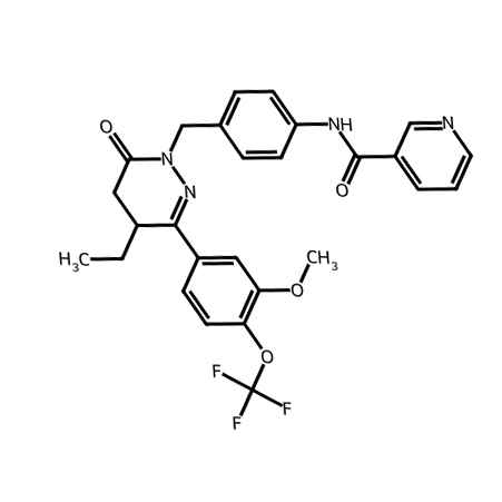 CCC1CC(=O)N(Cc2ccc(NC(=O)c3cccnc3)cc2)N=C1c1ccc(OC(F)(F)F)c(OC)c1